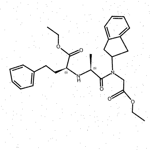 CCOC(=O)CN(C(=O)[C@H](C)N[C@@H](CCc1ccccc1)C(=O)OCC)C1Cc2ccccc2C1